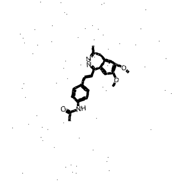 COc1cc2c(cc1OC)C(C=Cc1ccc(NC(C)=O)cc1)=NN=C(C)C2